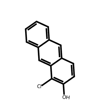 Oc1ccc2cc3ccccc3cc2c1Cl